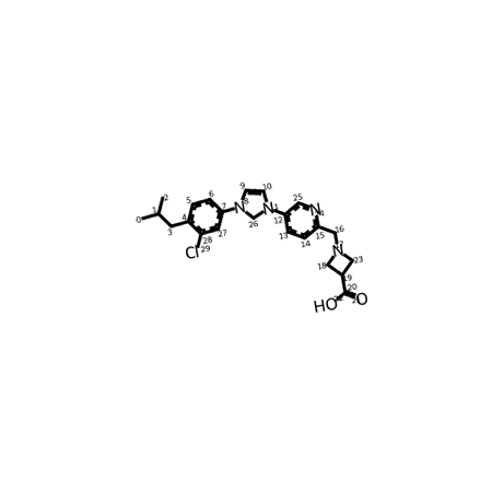 CC(C)Cc1ccc(N2C=CN(c3ccc(CN4CC(C(=O)O)C4)nc3)C2)cc1Cl